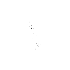 CCCc1ccc2oc(-c3ccc(-c4ccccc4-c4ccccc4-c4ccc5c(c4)c4ccccc4n5-c4ccccc4)cc3)nc2c1